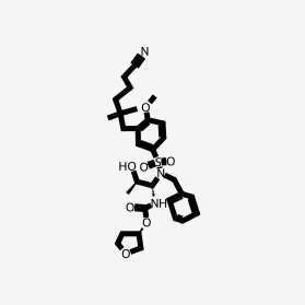 COc1ccc(S(=O)(=O)N(Cc2ccccc2)[C@H](NC(=O)O[C@H]2CCOC2)[C@@H](C)O)cc1CC(C)(C)CCCC#N